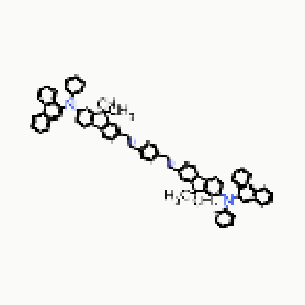 CC1(C)c2cc(/C=C/c3ccc(/C=C/c4ccc5c(c4)C(C)(C)c4cc(N(c6ccccc6)c6cc7ccccc7c7ccccc67)ccc4-5)cc3)ccc2-c2ccc(N(c3ccccc3)c3cc4ccccc4c4ccccc34)cc21